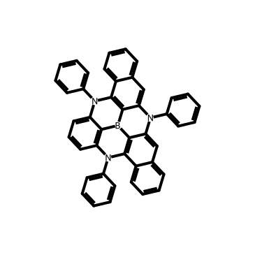 c1ccc(N2c3cc4ccccc4c4c3B3c5c(cccc5N(c5ccccc5)c5c3c2cc2ccccc52)N4c2ccccc2)cc1